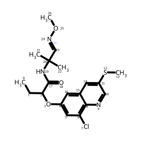 CCC(Oc1cc(Cl)c2ncc(SC)cc2c1)C(=O)NC(C)(C)/C=N/OC